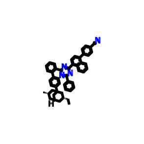 CC[C@@H]1C[C@@H]2C[C@H](C)CC(c3ccc(-c4ccccc4-c4nc(-c5ccccc5)nc(-c5ccc(-c6ccc(C#N)cc6)c6ccccc56)n4)cc3)(C1)C2